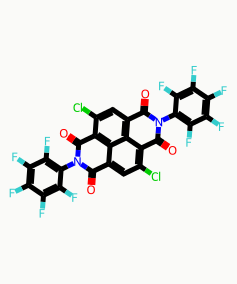 O=C1c2cc(Cl)c3c4c(cc(Cl)c(c24)C(=O)N1c1c(F)c(F)c(F)c(F)c1F)C(=O)N(c1c(F)c(F)c(F)c(F)c1F)C3=O